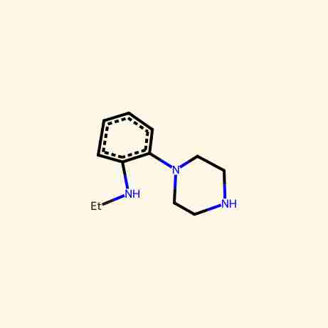 CCNc1ccccc1N1CCNCC1